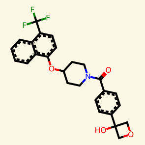 O=C(c1ccc(C2(O)COC2)cc1)N1CCC(Oc2ccc(C(F)(F)F)c3ccccc23)CC1